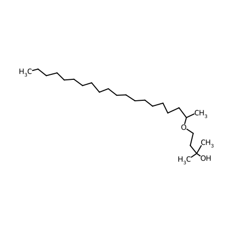 CCCCCCCCCCCCCCCCCCC(C)OCCC(C)(C)O